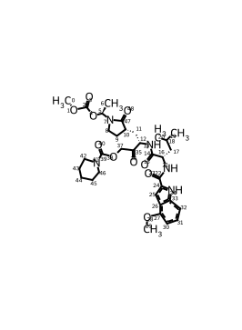 COC(=O)O[C@@H](C)N1CC[C@@H](C[C@H](NC(=O)[C@H](CC(C)C)NC(=O)c2cc3c(OC)cccc3[nH]2)C(=O)COC(=O)N2CCCCC2)C1=O